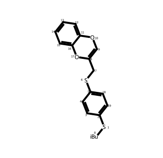 CCC(C)Sc1ccc(SCC2=COc3ccccc3O2)cc1